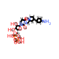 Nc1ccc(-c2ccnc(Cn3c(=O)ccn([C@@H]4O[C@H](COP(=O)(O)OP(=O)(O)O)[C@H](O)[C@@H]4O)c3=O)c2)cc1